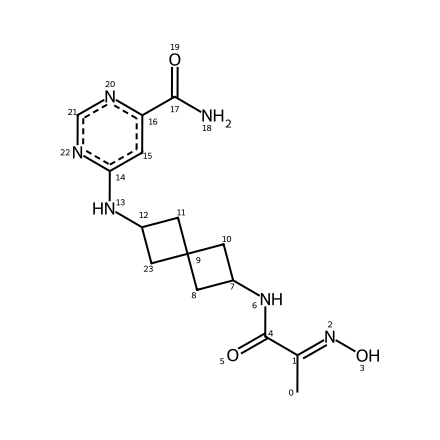 CC(=NO)C(=O)NC1CC2(C1)CC(Nc1cc(C(N)=O)ncn1)C2